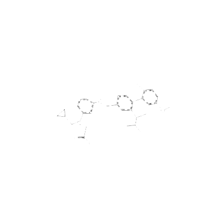 COc1ccc(F)c(-c2ccc(COc3cccc([C@H](CC(=O)O)CC4CC4)c3)cc2C(C)C(C)C)c1